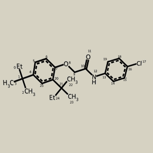 CCC(C)(C)c1ccc(OCC(=O)Nc2c[c]c(Cl)cc2)c(C(C)(C)CC)c1